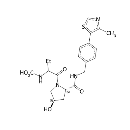 CCC(NC(=O)O)C(=O)N1C[C@H](O)C[C@H]1C(=O)NCc1ccc(-c2scnc2C)cc1